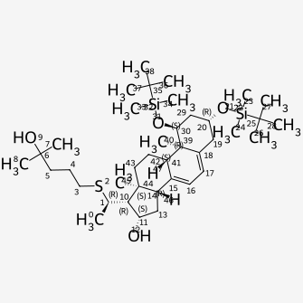 C[C@@H](SCCCC(C)(C)O)[C@H]1[C@@H](O)C[C@H]2C3=CC=C4C[C@@H](O[Si](C)(C)C(C)(C)C)C[C@H](O[Si](C)(C)C(C)(C)C)[C@]4(C)[C@H]3CC[C@]12C